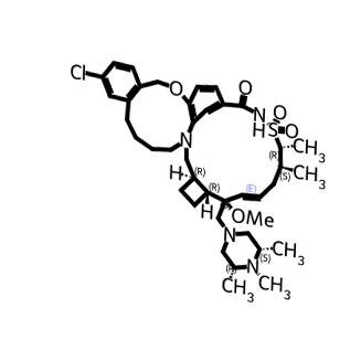 CO[C@]1(CN2C[C@@H](C)N(C)[C@@H](C)C2)/C=C/C[C@H](C)[C@@H](C)S(=O)(=O)NC(=O)c2ccc3c(c2)N(CCCCc2cc(Cl)ccc2CO3)C[C@@H]2CC[C@H]21